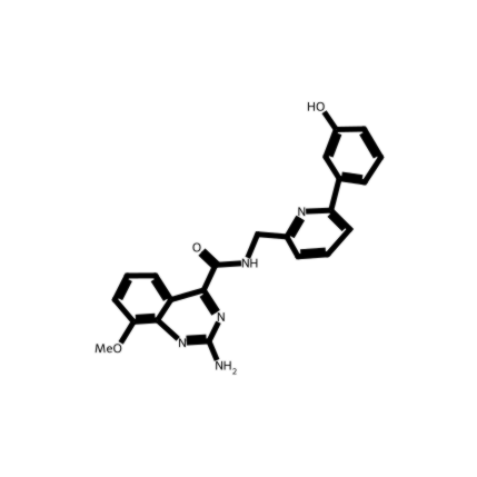 COc1cccc2c(C(=O)NCc3cccc(-c4cccc(O)c4)n3)nc(N)nc12